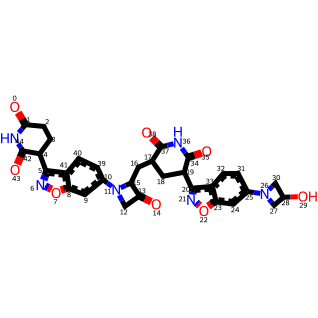 O=C1CCC(c2noc3cc(N4CC(=O)C4CC4CC(c5noc6cc(N7CC(O)C7)ccc56)C(=O)NC4=O)ccc23)C(=O)N1